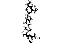 C=C(c1ccnc(C(=O)O)c1)N1CC[C@@H](N2Cc3cnc(Nc4cc(C(F)(F)F)cc(C(F)(F)F)c4)nc3C2)C[C@H]1C